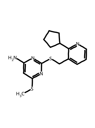 CSc1cc(N)nc(SCc2cccnc2C2CCCC2)n1